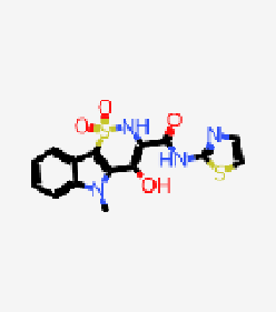 Cn1c2c(c3ccccc31)S(=O)(=O)NC(C(=O)Nc1nccs1)=C2O